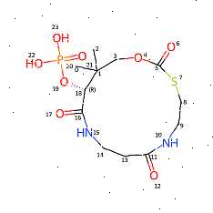 CC1(C)COC(=O)SCCNC(=O)CCNC(=O)[C@@H]1OP(=O)(O)O